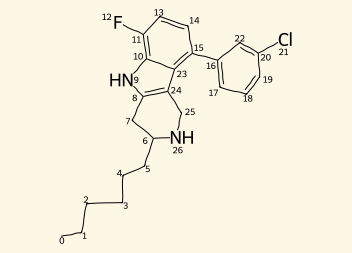 CCCCCCC1Cc2[nH]c3c(F)ccc(-c4cccc(Cl)c4)c3c2CN1